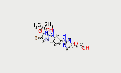 C[C@@H](O)[C@@H](C)Oc1nc(Nc2cccc(Nc3nccc(OCCO)n3)c2)ncc1Br